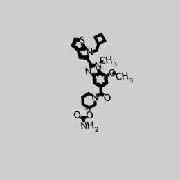 COc1cc(C(=O)N2CCC[C@@H](OC(N)=O)C2)cc2nc(-c3cc4ccsc4n3CC3CCC3)n(C)c12